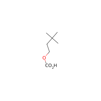 CC(C)(C)CCOC(=O)O